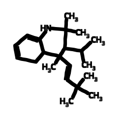 CC(C)C1C(C)(C)NC2=CC=CCC2C1(C)C=CC(C)(C)C